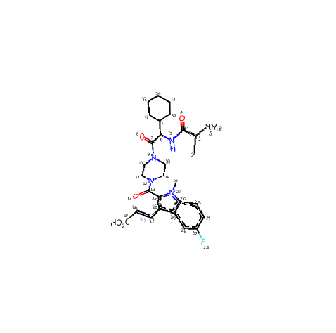 CNC(C)C(=O)NC(C(=O)N1CCN(C(=O)c2c(/C=C/C(=O)O)c3cc(F)ccc3n2C)CC1)C1CCCCC1